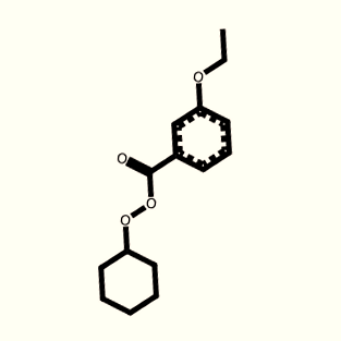 CCOc1cccc(C(=O)OO[C]2CCCCC2)c1